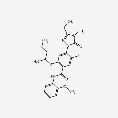 CCCC(C)Oc1cc(-n2nc(CC)n(C)c2=O)c(F)cc1C(=O)Nc1ccccc1OC